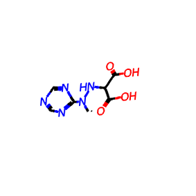 [CH2]N(NC(C(=O)O)C(=O)O)c1ncncn1